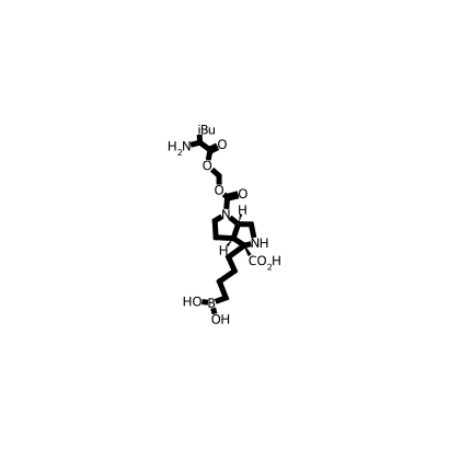 CCC(C)C(N)C(=O)OCOC(=O)N1CC[C@H]2[C@@H]1CN[C@@]2(CCCCB(O)O)C(=O)O